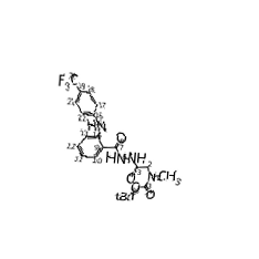 CN(CC(=O)NNC(=O)c1ccccc1Nc1ccc(C(F)(F)F)cc1)C(=O)OC(C)(C)C